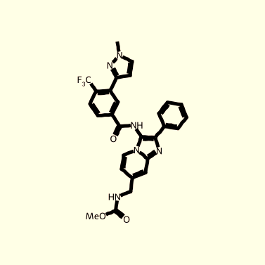 COC(=O)NCc1ccn2c(NC(=O)c3ccc(C(F)(F)F)c(-c4ccn(C)n4)c3)c(-c3ccccc3)nc2c1